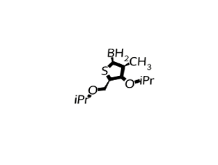 B[C@@H]1S[C@H](COC(C)C)C(OC(C)C)[C@@H]1C